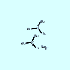 CCC(C)[BH-](C(C)CC)C(C)CC.CCC(C)[BH-](C(C)CC)C(C)CC.[K+].[Na+]